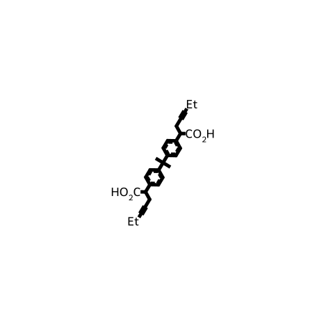 CCC#CCC(C(=O)O)c1ccc(C(C)(C)c2ccc(C(CC#CCC)C(=O)O)cc2)cc1